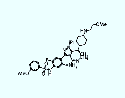 C=C(c1c(/C(N)=N\C)c(-c2cc(F)c(NS(=O)(=O)c3cccc(OC)c3)cc2F)nn1C(C)C)[C@H]1CC[C@H](NCCOC)CC1